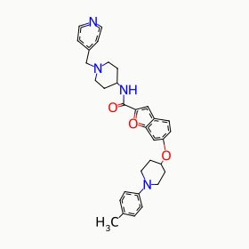 Cc1ccc(N2CCC(Oc3ccc4cc(C(=O)NC5CCN(Cc6ccncc6)CC5)oc4c3)CC2)cc1